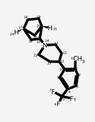 Cc1ccc(C(F)(F)F)cc1C1CCN(C2C[C@H]3CC[C@H]2C3)CC1